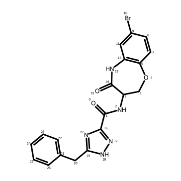 O=C(NC1COc2ccc(Br)cc2NC1=O)c1n[nH]c(Cc2ccccc2)n1